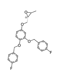 CC1O[C@H]1COc1ccc(OCc2ccc(F)cc2)c(OCc2ccc(F)cc2)c1